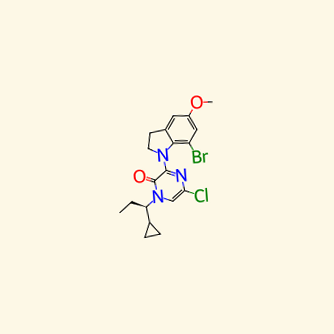 CC[C@H](C1CC1)n1cc(Cl)nc(N2CCc3cc(OC)cc(Br)c32)c1=O